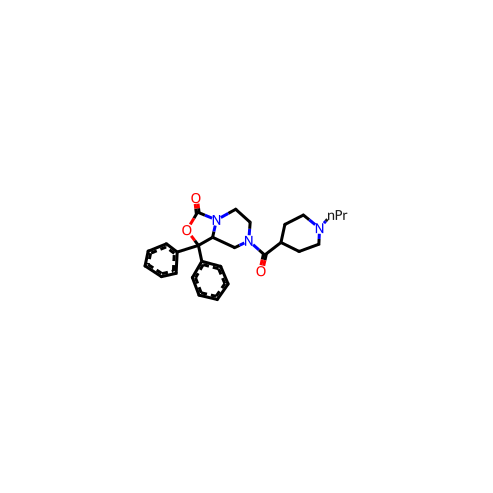 CCCN1CCC(C(=O)N2CCN3C(=O)OC(c4ccccc4)(c4ccccc4)C3C2)CC1